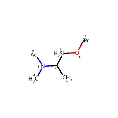 CC(=O)N(C)C(C)[SiH2]OC(C)C